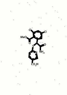 COC(=O)c1c(Cl)cc(Cl)cc1C(Sc1ccc(C(=O)O)cn1)C(N)=O